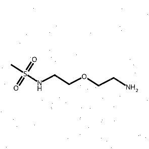 CS(=O)(=O)NCCOCCN